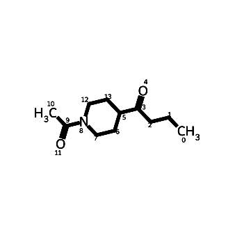 CCCC(=O)C1CCN(C(C)=O)CC1